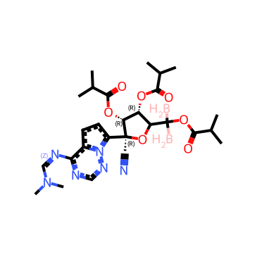 BC(B)(OC(=O)C(C)C)C1O[C@@](C#N)(c2ccc3c(/N=C\N(C)C)ncnn23)[C@H](OC(=O)C(C)C)[C@@H]1OC(=O)C(C)C